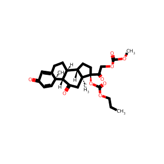 CCCOC(=O)O[C@]1(C(=O)COC(=O)OC)CC[C@H]2[C@@H]3CCC4=CC(=O)C=C[C@]4(C)[C@H]3C(=O)C[C@@]21C